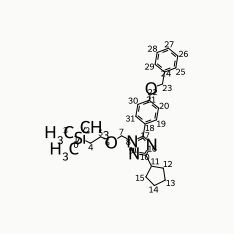 C[Si](C)(C)CCOCn1nc(C2CCCC2)nc1-c1ccc(OCc2ccccc2)cc1